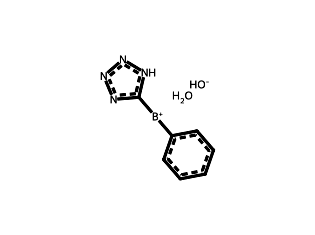 O.[B+](c1ccccc1)c1nnn[nH]1.[OH-]